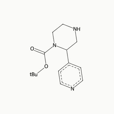 CC(C)(C)OC(=O)N1CCNCC1c1ccncc1